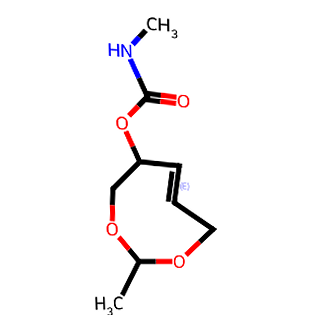 CNC(=O)OC1/C=C/COC(C)OC1